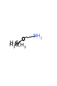 C[Si](C)(C)C#Cc1ccc(CCCCCCN)cc1